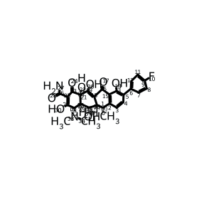 C[C@H]1c2ccc(-c3ccc(F)cc3)c(O)c2C(=O)C2=C(O)[C@]3(O)C(=O)C(C(N)=O)=C(O)[C@@H](N(C)C)[C@@H]3[C@@H](O)[C@@H]21